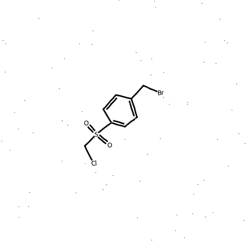 O=S(=O)(CCl)c1ccc(CBr)cc1